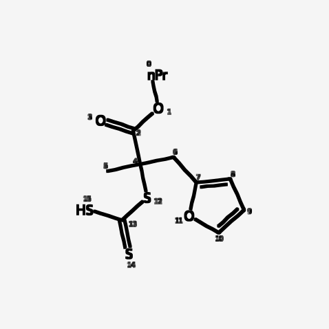 CCCOC(=O)C(C)(Cc1ccco1)SC(=S)S